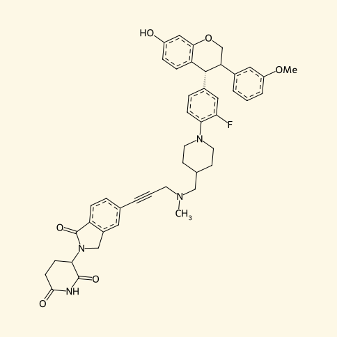 COc1cccc(C2COc3cc(O)ccc3[C@H]2c2ccc(N3CCC(CN(C)CC#Cc4ccc5c(c4)CN(C4CCC(=O)NC4=O)C5=O)CC3)c(F)c2)c1